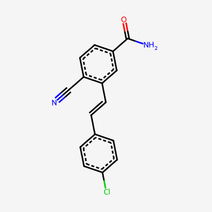 N#Cc1ccc(C(N)=O)cc1/C=C/c1ccc(Cl)cc1